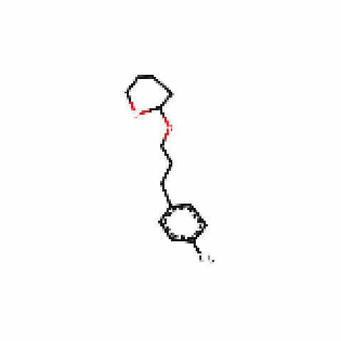 Bc1ccc(CCCOC2CCCCO2)cc1